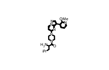 COc1ncccc1-c1cnn2ccc(N3CCN(C(=O)C(N)CC(C)C)CC3)nc12